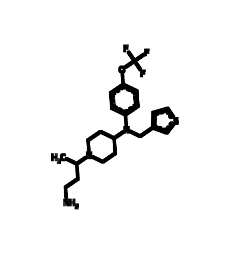 CC(CCN)N1CCC(N(Cc2ccsc2)c2ccc(OC(F)(F)F)cc2)CC1